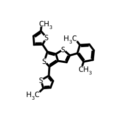 Cc1ccc(-c2sc(-c3ccc(C)s3)c3sc(-c4c(C)cccc4C)cc23)s1